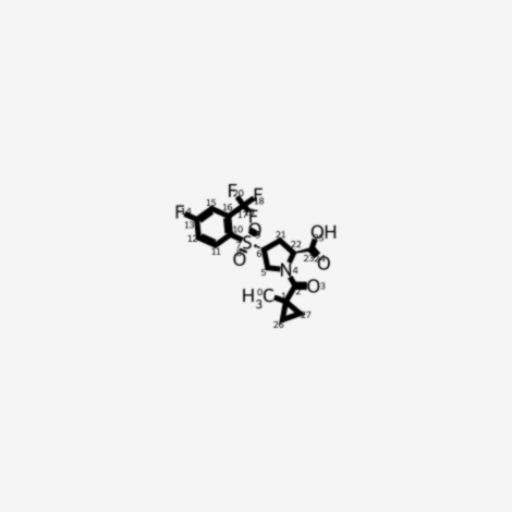 CC1(C(=O)N2C[C@H](S(=O)(=O)c3ccc(F)cc3C(F)(F)F)C[C@H]2C(=O)O)CC1